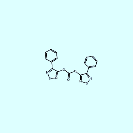 O=C(Oc1nsnc1-c1ccccc1)Oc1nsnc1-c1ccccc1